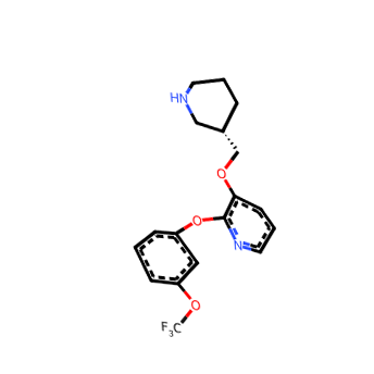 FC(F)(F)Oc1cccc(Oc2ncccc2OC[C@H]2CCCNC2)c1